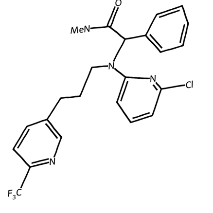 CNC(=O)C(c1ccccc1)N(CCCc1ccc(C(F)(F)F)nc1)c1cccc(Cl)n1